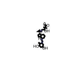 C=C1/C(=C\C=C2/CCC[C@]3(C)[C@@H](C4(/C=C/[C@H](O)C(C)(C)C(=O)OC)CC4)CC[C@@H]23)C[C@@H](O)C[C@@H]1O